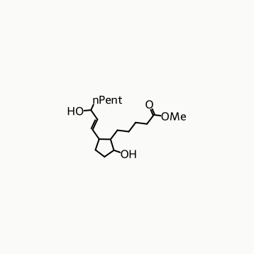 CCCCCC(O)C=CC1CCC(O)C1CCCCC(=O)OC